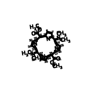 COC(=O)C1=C2C=CC(=N2)C(N(C)C)=C2C=CC(=N2)C(C(=O)OC)=C2C=CC(=N2)C(N(C)C)=C2C=CC1=N2